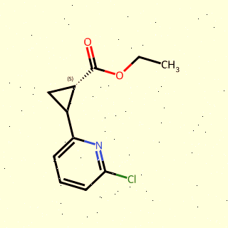 CCOC(=O)[C@H]1CC1c1cccc(Cl)n1